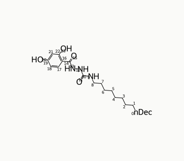 CCCCCCCCCCCCCCCCCCNC(=O)NNC(=O)c1ccc(O)cc1O